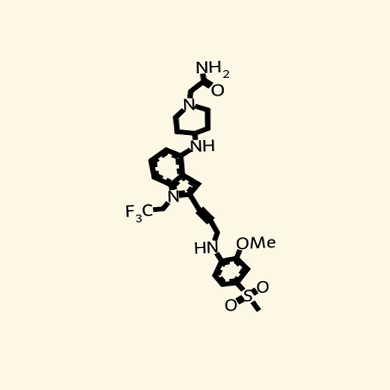 COc1cc(S(C)(=O)=O)ccc1NCC#Cc1cc2c(NC3CCN(CC(N)=O)CC3)cccc2n1CC(F)(F)F